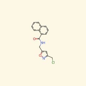 O=C(NCc1cc(CCl)no1)c1cccc2ccccc12